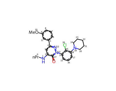 CCCNc1cc(-c2cccc(OC)c2)nn(-c2cccc(N3CCCCC3)c2Cl)c1=O